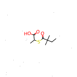 CCC(C)(C)C(=O)SC(C)C(=O)O